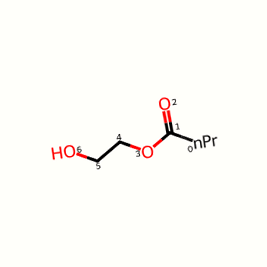 CCCC(=O)OCCO